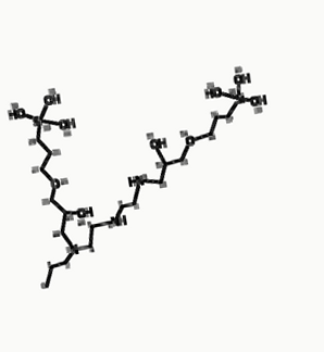 CCCN(CCNCCNCC(O)COCCC[Si](O)(O)O)CC(O)COCCC[Si](O)(O)O